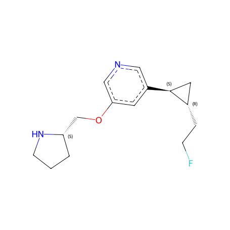 FCC[C@H]1C[C@@H]1c1cncc(OC[C@@H]2CCCN2)c1